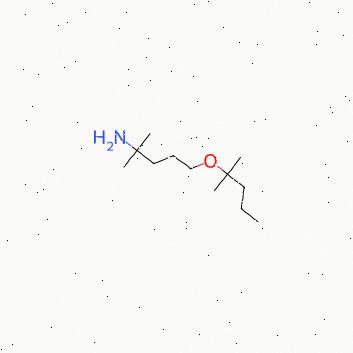 CCCC(C)(C)OCCCC(C)(C)N